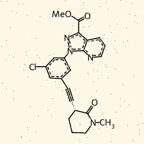 COC(=O)c1nn(-c2cc(Cl)cc(C#C[C@H]3CCCN(C)C3=O)c2)c2ncccc12